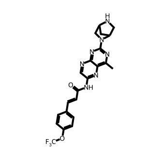 Cc1nc(N2CC3CC2CN3)nc2ncc(NC(=O)C=Cc3ccc(OC(F)(F)F)cc3)nc12